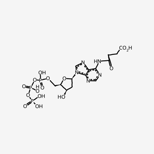 O=C(O)CCC(=O)Nc1ncnc2c1ncn2[C@H]1C[C@@H](O)[C@@H](COP(=O)(O)OP(=O)(O)OP(=O)(O)O)O1